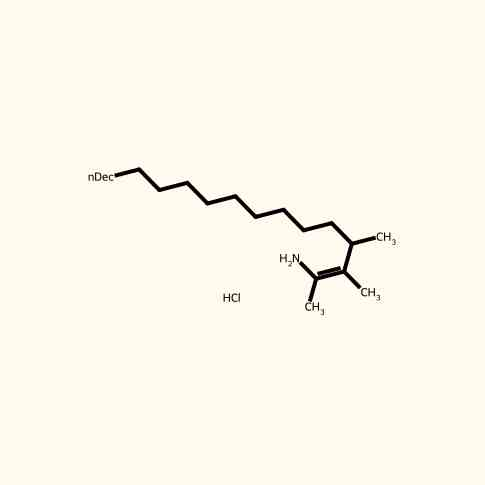 CCCCCCCCCCCCCCCCCCCC(C)C(C)=C(C)N.Cl